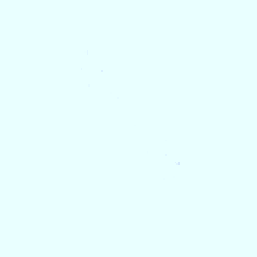 CC(C)(C)OC(=O)Nc1ccc(C#Cc2ccc(NC(=O)[C@@H]3CCCN3)cc2)cc1